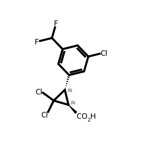 O=C(O)[C@@H]1[C@@H](c2cc(Cl)cc(C(F)F)c2)C1(Cl)Cl